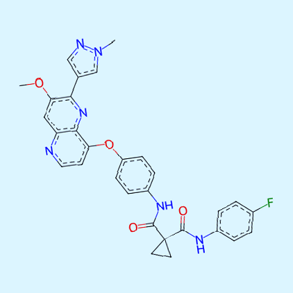 COc1cc2nccc(Oc3ccc(NC(=O)C4(C(=O)Nc5ccc(F)cc5)CC4)cc3)c2nc1-c1cnn(C)c1